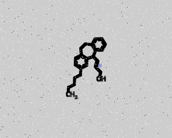 CCCCCc1ccc2c(c1)C(/C=C/CO)c1ccccc1CC2